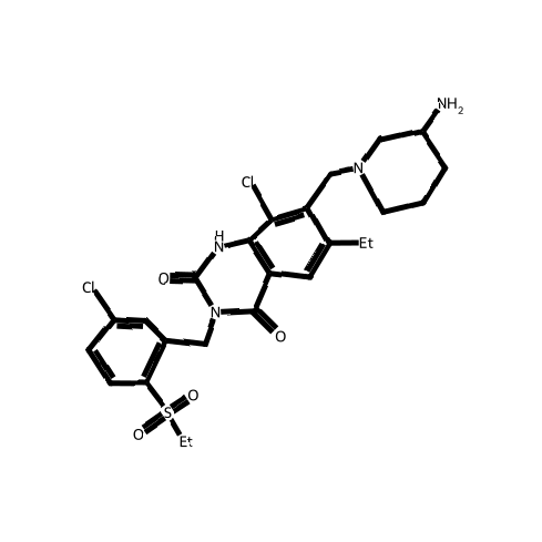 CCc1cc2c(=O)n(Cc3cc(Cl)ccc3S(=O)(=O)CC)c(=O)[nH]c2c(Cl)c1CN1CCCC(N)C1